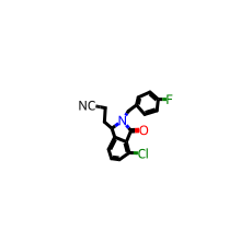 N#CCCC1c2cccc(Cl)c2C(=O)N1Cc1ccc(F)cc1